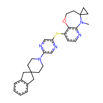 CN1c2nccc(Sc3cnc(N4CCC5(CC4)Cc4ccccc4C5)cn3)c2OCCC12CC2